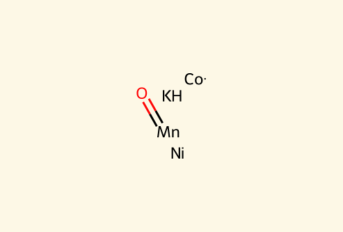 [Co].[KH].[Ni].[O]=[Mn]